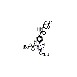 CC(C)(C)OC(=O)/N=C(/NC(=O)OC(C)(C)C)Nc1ccc(OC(=O)NC2COC(=O)OC2)cc1